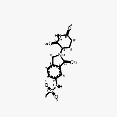 CS(=O)(=O)Nc1ccc2c(c1)C(=O)N(C1CCC(=O)NC1=O)C2